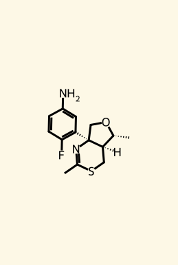 CC1=N[C@@]2(c3cc(N)ccc3F)CO[C@H](C)[C@H]2CS1